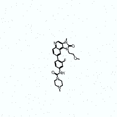 COCCn1c(=O)n(C)c2cnc3ccc(-c4ccc(NC(=O)N5CCN(C)CC5)cc4F)cc3c21